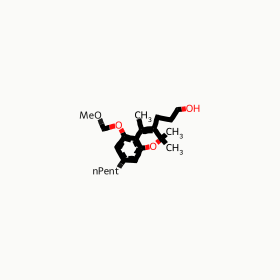 CCCCCc1cc(OCOC)c2c(c1)OC(C)(C)C(CCCO)=C2C